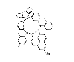 Cc1ccc(N2c3cccc(c3)[Si]3(c4cccc(c4)N(c4ccc(C)cc4C)c4cc2c2ccc5cc(C(C)(C)C)cc6ccc4c2c56)c2ccccc2-c2ccccc23)c(C)c1